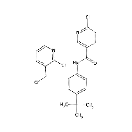 CC(C)(C)c1ccc(NC(=O)c2ccc(Cl)nc2)cc1.ClCc1cccnc1Cl